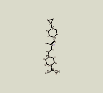 C/C(=C\N1CCN(C2CC2)CC1)CCN1CCN(C(O)C(C)C)CC1